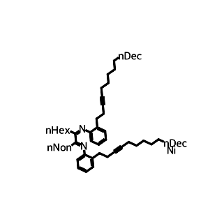 CCCCCCCCCCCCCCCC#CCCc1ccccc1N=C(CCCCCC)C(CCCCCCCCC)=Nc1ccccc1CCC#CCCCCCCCCCCCCCCC.[Ni]